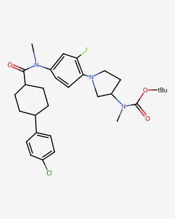 CN(C(=O)C1CCC(c2ccc(Cl)cc2)CC1)c1ccc(N2CCC(N(C)C(=O)OC(C)(C)C)C2)c(F)c1